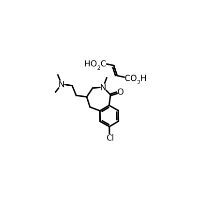 CN(C)CCC1Cc2cc(Cl)ccc2C(=O)N(C)C1.O=C(O)/C=C/C(=O)O